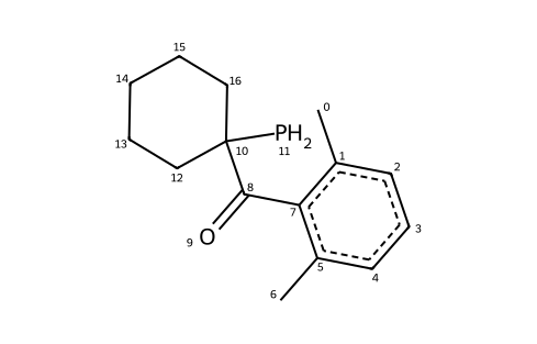 Cc1cccc(C)c1C(=O)C1(P)CCCCC1